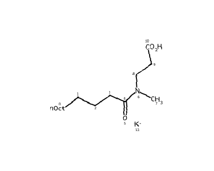 CCCCCCCCCCCC(=O)N(C)CCC(=O)O.[K]